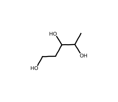 CC(O)[C](O)CCO